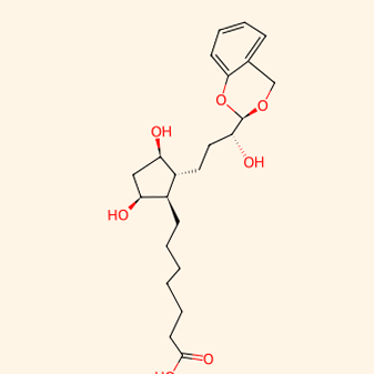 O=C(O)CCCCCC[C@@H]1[C@@H](CC[C@@H](O)[C@@H]2OCc3ccccc3O2)[C@H](O)C[C@@H]1O